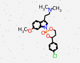 COc1ccc2c(CCN(C)C)cn(P3(=O)OCCC(c4ccc(Cl)cc4)O3)c2c1